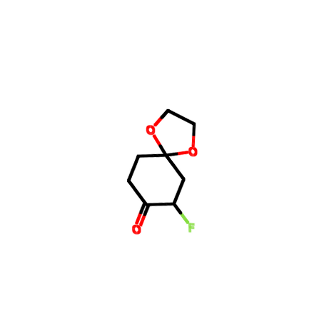 O=C1CCC2(CC1F)OCCO2